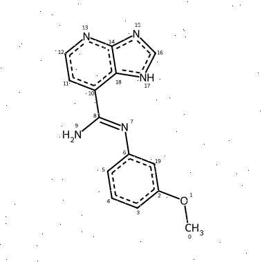 COc1cccc(N=C(N)c2ccnc3nc[nH]c23)c1